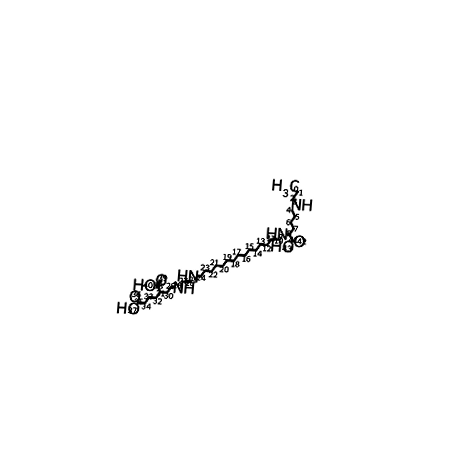 CCCNCCCCC(NCCCCCCCCCCCCCCCNCCNCCC(CCCC(=O)O)C(=O)O)C(=O)O